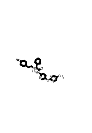 Cc1cnc(Oc2ccc(NC(=O)[C@@H](NCCc3ccc(C#N)cc3)c3ccccc3)nc2)nc1